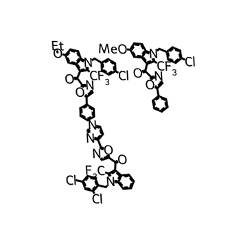 CCOc1ccc2c(c1)c(C(=O)c1ncc(-c3ccccc3)o1)c(C(F)(F)F)n2Cc1ccc(Cl)cc1.COc1ccc2c(c1)c(C(=O)c1ncc(-c3ccccc3)o1)c(C(F)(F)F)n2Cc1ccc(Cl)cc1.O=C(c1cnc(-c2ccncn2)o1)c1c(C(F)(F)F)n(Cc2ccc(Cl)cc2Cl)c2ccccc12